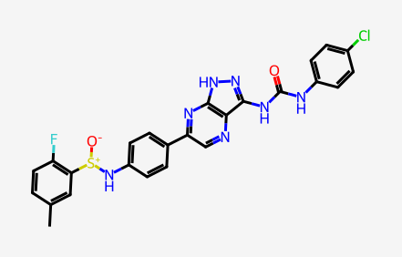 Cc1ccc(F)c([S+]([O-])Nc2ccc(-c3cnc4c(NC(=O)Nc5ccc(Cl)cc5)n[nH]c4n3)cc2)c1